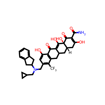 NC(=O)C1=C(O)C[C@@H]2CC3Cc4c(c(O)cc(CN(CC5CC5)C5Cc6ccccc6C5)c4C(F)(F)F)C(=O)C3=C(O)[C@]2(O)C1=O